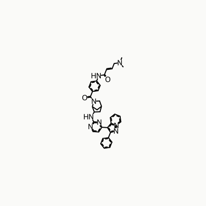 CN(C)C/C=C/C(=O)Nc1ccc(C(=O)N2CC3CC(Nc4nccc(-c5c(-c6ccccc6)nn6ccccc56)n4)C2C3)cc1